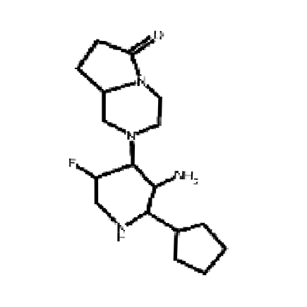 NC1C(C2CCCC2)NCC(F)C1N1CCN2C(=O)CCC2C1